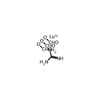 N=C(N)N.O=C[O-].O=C[O-].O=C[O-].[Lu+3]